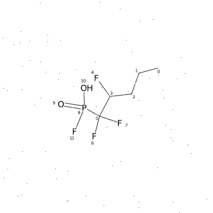 CCCC(F)C(F)(F)P(=O)(O)F